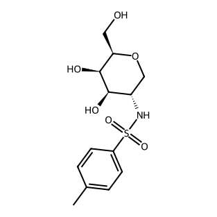 Cc1ccc(S(=O)(=O)N[C@H]2CO[C@H](CO)[C@H](O)[C@@H]2O)cc1